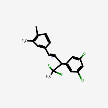 Cc1ccc(/C=C/C(c2cc(Cl)cc(Cl)c2)C(F)(F)C(F)(F)F)cc1C(F)(F)F